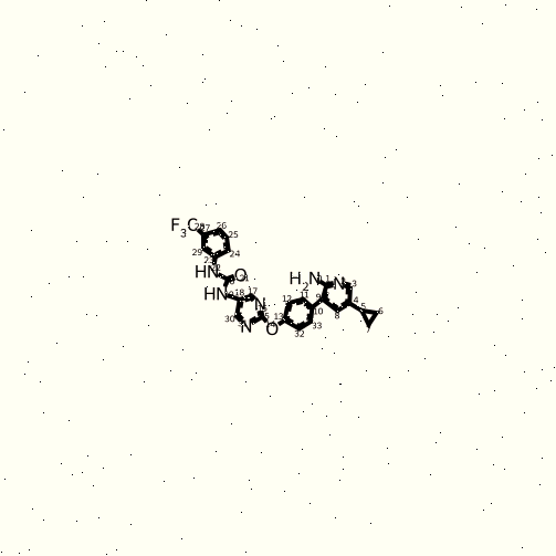 Nc1ncc(C2CC2)cc1-c1ccc(Oc2ncc(NC(=O)Nc3cccc(C(F)(F)F)c3)cn2)cc1